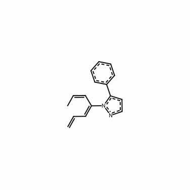 C=C/C=C(\C=C/C)n1nccc1-c1ccccc1